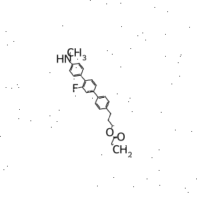 C=CC(=O)OCCCc1ccc(-c2ccc(-c3ccc(NC)cc3)c(F)c2)cc1